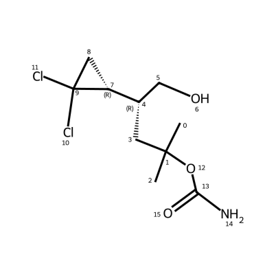 CC(C)(C[C@@H](CO)[C@H]1CC1(Cl)Cl)OC(N)=O